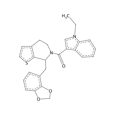 CCn1cc(C(=O)N2CCc3ccsc3C2Cc2cccc3c2OCO3)c2ccccc21